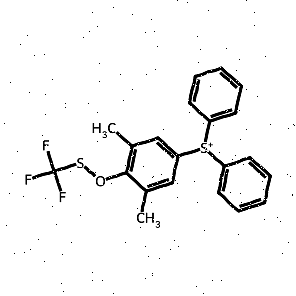 Cc1cc([S+](c2ccccc2)c2ccccc2)cc(C)c1OSC(F)(F)F